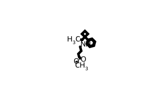 COC(=O)CCCNC(C)C1(c2ccccc2)CCC1